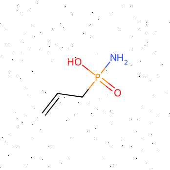 C=CCP(N)(=O)O